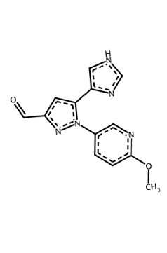 COc1ccc(-n2nc(C=O)cc2-c2c[nH]cn2)cn1